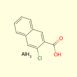 O=C(O)c1cc2ccccc2cc1Cl.[AlH3]